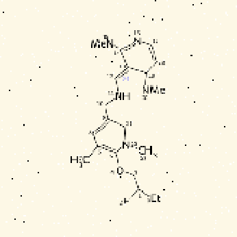 CCC(F)COC1=C(C)C=C(CN/C=C2/C(NC)=NC=CC2NC)CN1C